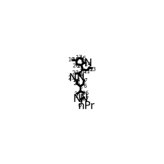 CCCc1ncc(-c2ccn3c(-c4cc(C)nc5ccc(C)cc45)cnc3c2)cn1